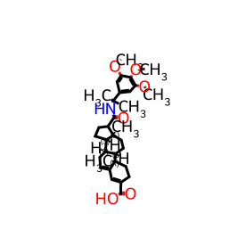 COc1cc(C(C)(C)NC(=O)C2CC[C@H]3[C@@H]4CC=C5C=C(C(=O)O)CC[C@]5(C)[C@H]4CC[C@]23C)cc(OC)c1OC